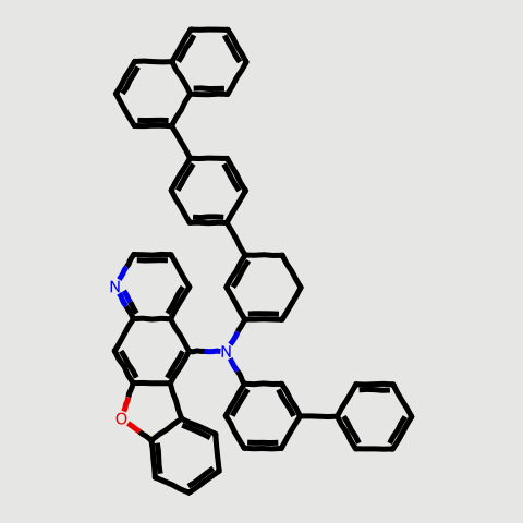 C1=C(c2ccc(-c3cccc4ccccc34)cc2)CCC=C1N(c1cccc(-c2ccccc2)c1)c1c2cccnc2cc2oc3ccccc3c12